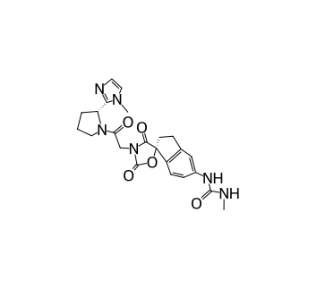 CNC(=O)Nc1ccc2c(c1)CC[C@@]21OC(=O)N(CC(=O)N2CCC[C@@H]2c2nccn2C)C1=O